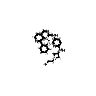 FCCN1CC(Nc2ccc(Nc3ncc4ccnc(-c5ccccc5F)c4n3)cn2)C1